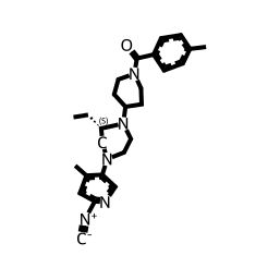 [C-]#[N+]c1cc(C)c(N2CCN(C3CCN(C(=O)c4ccc(C)cc4)CC3)[C@@H](CC)C2)cn1